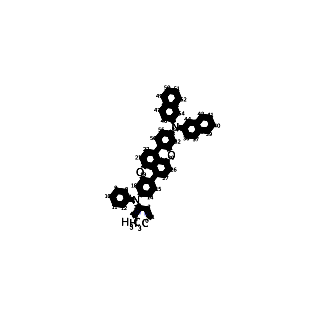 C/C=C\C(=C/C)N(c1ccccc1)c1ccc2c(c1)Oc1ccc3c4c(ccc-2c14)Oc1cc(N(c2ccc4ccccc4c2)c2ccc4ccccc4c2)ccc1-3